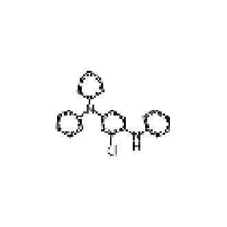 Clc1cc(N(c2ccccc2)c2ccccc2)ccc1Nc1ccccc1